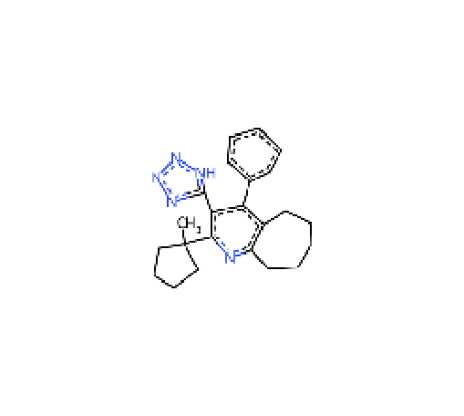 CC1(c2nc3c(c(-c4ccccc4)c2-c2nnn[nH]2)CCCCC3)CCCC1